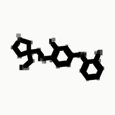 Fc1cc(Nc2ccccc2Cl)ccc1NCC1(CBr)CCOC1